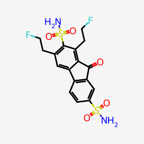 NS(=O)(=O)c1ccc2c(c1)C(=O)c1c-2cc(CCF)c(S(N)(=O)=O)c1CCF